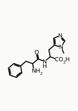 Cn1cncc1CC(NC(=O)C(N)Cc1ccccc1)C(=O)O